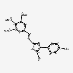 COc1cc(/C=C/c2nc(-c3ccc(Cl)cc3)c(Br)s2)cc(OC)c1OC